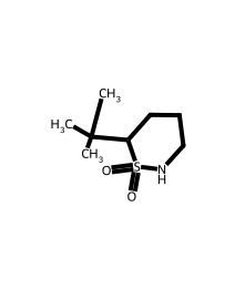 CC(C)(C)C1CCCNS1(=O)=O